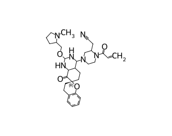 C=CC(=O)N1CCN(C2NC(OCC3CCCN3C)NC3C(=O)[C@]4(CCc5ccccc5O4)CCC32)CC1CC#N